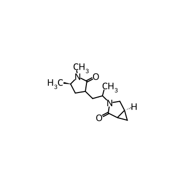 CC(CC1C[C@@H](C)N(C)C1=O)N1C[C@H]2CC2C1=O